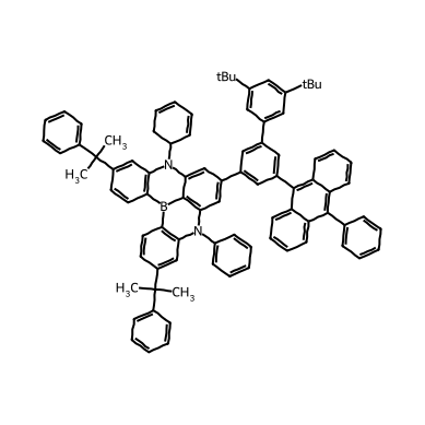 CC(C)(C)c1cc(-c2cc(-c3cc4c5c(c3)N(C3C=CC=CC3)c3cc(C(C)(C)c6ccccc6)ccc3B5c3ccc(C(C)(C)c5ccccc5)cc3N4c3ccccc3)cc(-c3c4ccccc4c(-c4ccccc4)c4ccccc34)c2)cc(C(C)(C)C)c1